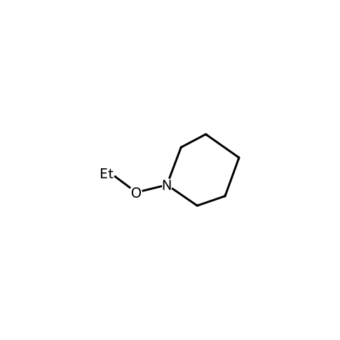 [CH2]CON1CCCCC1